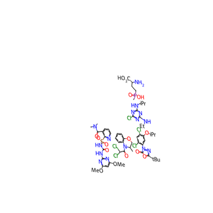 CC(C)Oc1cc(-n2nc(C(C)(C)C)oc2=O)c(Cl)cc1Cl.CC1COc2ccccc2N1C(=O)C(Cl)Cl.CCNc1nc(Cl)nc(NC(C)C)n1.COc1cc(OC)nc(NC(=O)NS(=O)(=O)c2ncccc2C(=O)N(C)C)n1.CP(=O)(O)CCC(N)C(=O)O